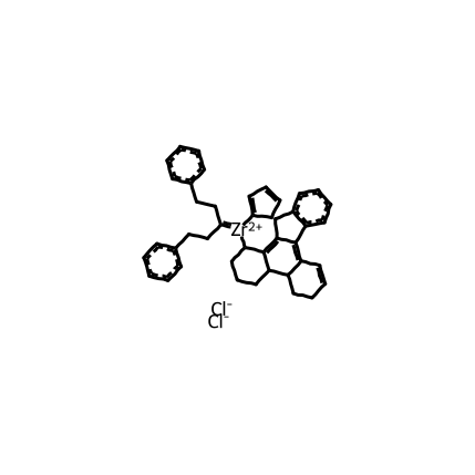 C1=CC[C]([Zr+2](=[C](CCc2ccccc2)CCc2ccccc2)[CH]2CCCC3C2=C2Cc4ccccc4C2=C2C=CCCC23)=C1.[Cl-].[Cl-]